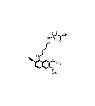 COc1cc2ncc(C#N)c(NCCOCCNS(=O)(=O)NC(=O)O)c2cc1OC